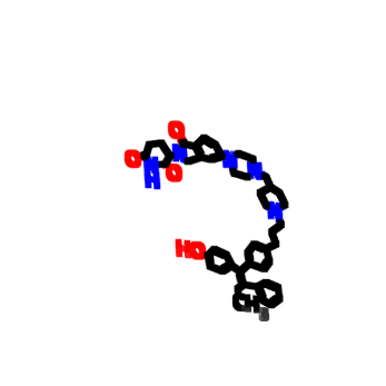 CCC(=C(c1ccc(O)cc1)c1ccc(CCCN2CCC(CN3CCN(c4ccc5c(c4)CN(C4CCC(=O)NC4=O)C5=O)CC3)CC2)cc1)c1ccccc1